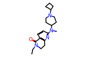 CCN1CCc2nc(N(C)C3CCN(C4CCC4)CC3)ccc2C1=O